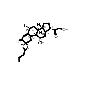 CCCC1OC2(C[C@@]3(C)C(=CC2=O)[C@@H](F)C[C@H]2[C@@H]4CC[C@@H](C(=O)CO)[C@@]4(C)C[C@H](O)[C@@]23F)O1